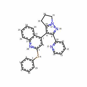 c1ccc(Sc2cc(-c3c(-c4ccccn4)nn4c3CCC4)c3ccccc3n2)cc1